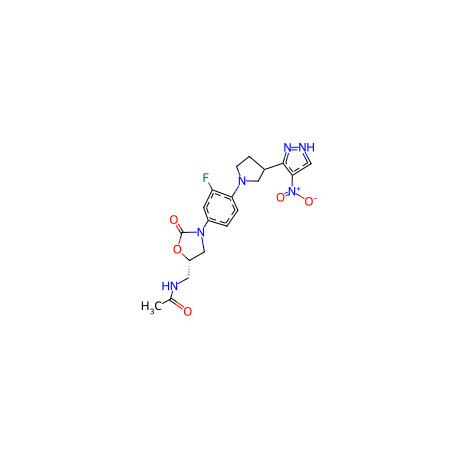 CC(=O)NC[C@H]1CN(c2ccc(N3CCC(c4n[nH]cc4[N+](=O)[O-])C3)c(F)c2)C(=O)O1